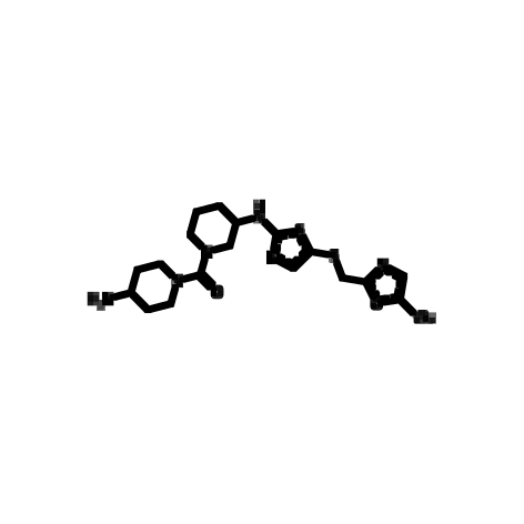 CC(C)(C)c1cnc(CSc2cnc(NC3CCCN(C(=O)N4CCC(N)CC4)C3)s2)o1